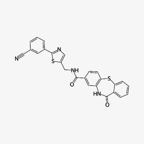 N#Cc1cccc(-c2ncc(CNC(=O)c3ccc4c(c3)NC(=O)c3ccccc3S4)s2)c1